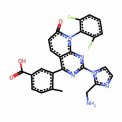 Cc1ccc(C(=O)O)cc1-c1nc(-n2ccnc2CN)nc2c1ccc(=O)n2-c1c(F)cccc1F